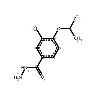 CC(C)Oc1ccc(C(=O)NN)cc1Cl